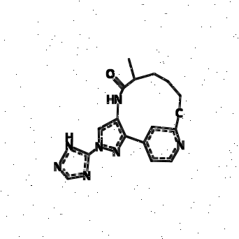 CC1CCCCc2cc(ccn2)-c2nn(-c3ncn[nH]3)cc2NC1=O